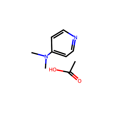 CC(=O)O.CN(C)c1ccncc1